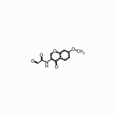 COc1ccc2c(=O)c(NC(=O)C=O)coc2c1